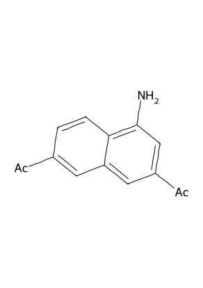 CC(=O)c1ccc2c(N)cc(C(C)=O)cc2c1